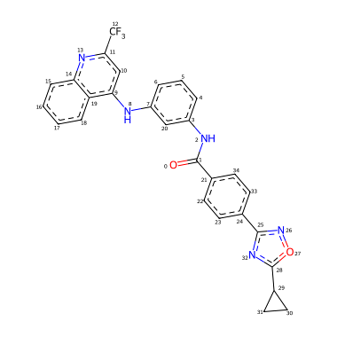 O=C(Nc1cccc(Nc2cc(C(F)(F)F)nc3ccccc23)c1)c1ccc(-c2noc(C3CC3)n2)cc1